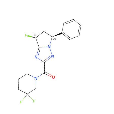 O=C(c1nc2n(n1)[C@H](c1ccccc1)C[C@@H]2F)N1CCCC(F)(F)C1